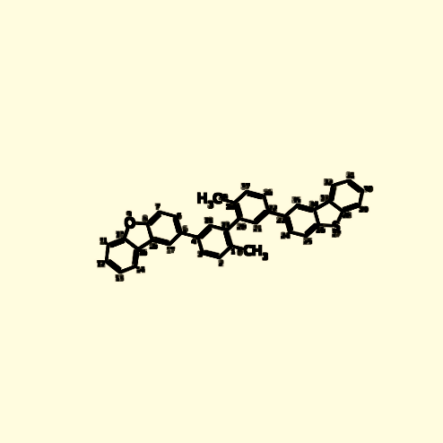 Cc1ccc(-c2ccc3oc4ccccc4c3c2)cc1-c1cc(-c2ccc3sc4ccccc4c3c2)ccc1C